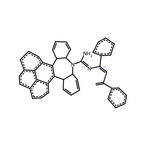 C=C(/C=C(\N=C(/N)N1C2C=CC=CC2c2c(c3cccc4ccc5cccc2c5c43)C2C=CC=CC21)c1ccccc1)c1ccccc1